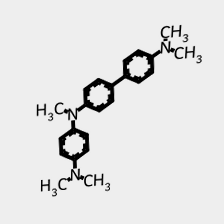 CN(C)c1ccc(-c2ccc(N(C)c3ccc(N(C)C)cc3)cc2)cc1